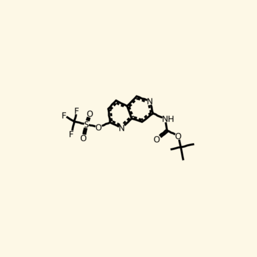 CC(C)(C)OC(=O)Nc1cc2nc(OS(=O)(=O)C(F)(F)F)ccc2cn1